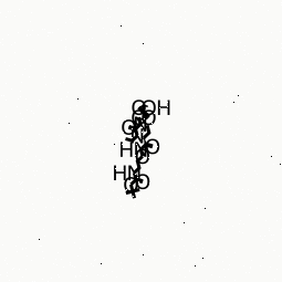 CCN1C(=O)N(OS(=O)(=O)O)CC[C@H]1C(=O)NOCCNC(=O)OC(C)(C)C